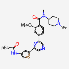 CCCCC(=O)Nc1csc(-c2cncc(-c3ccc(C(=O)N(C)C4CCN(C(C)C)CC4)c(OC)c3)n2)c1